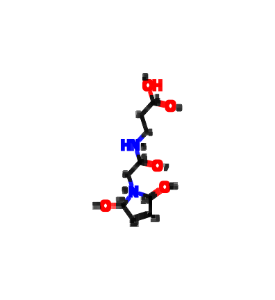 O=C(O)CCNC(=O)CN1C(=O)C=CC1=O